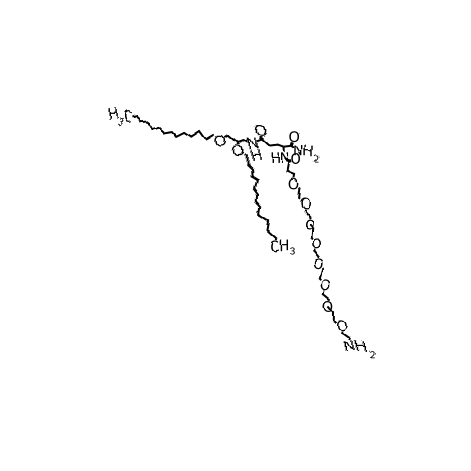 CCCCCCCCCCCCCCOCC(CNC(=O)CCC(NC(=O)CCOCCOCCOCCOCCOCCOCCOCCOCCN)C(N)=O)OCCCCCCCCCCCCCC